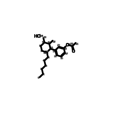 CCCCCCN1CCC(C)C(C)C1c1cccc(OC(C)=O)c1.Cl